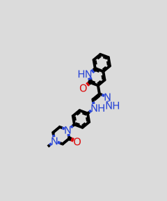 CN1CCN(c2ccc(N/C=C(\N=N)c3cc4ccccc4[nH]c3=O)cc2)C(=O)C1